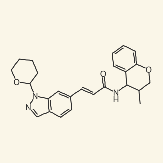 CC1COc2ccccc2C1NC(=O)/C=C/c1ccc2cnn(C3CCCCO3)c2c1